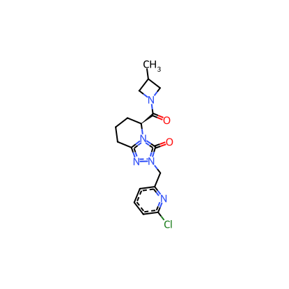 CC1CN(C(=O)[C@@H]2CCCc3nn(Cc4cccc(Cl)n4)c(=O)n32)C1